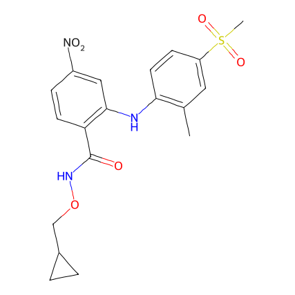 Cc1cc(S(C)(=O)=O)ccc1Nc1cc([N+](=O)[O-])ccc1C(=O)NOCC1CC1